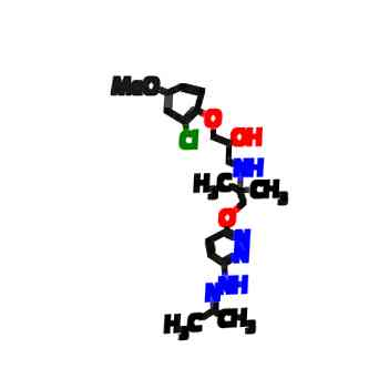 COc1ccc(OCC(O)CNC(C)(C)COc2ccc(NN=C(C)C)nn2)c(Cl)c1